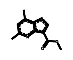 COC(=O)c1csc2c(C)cc(C)nc12